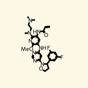 C=CC(=O)Nc1cc(Nc2cc(N3OCCC3c3cc(F)cc(F)c3)ncn2)c(OC)nc1N(C)CCN(C)C